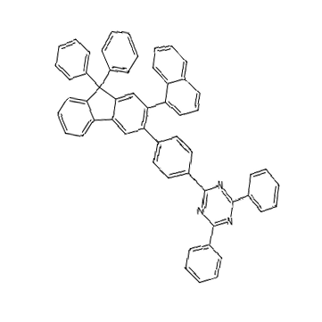 c1ccc(-c2nc(-c3ccccc3)nc(-c3ccc(-c4cc5c(cc4-c4cccc6ccccc46)C(c4ccccc4)(c4ccccc4)c4ccccc4-5)cc3)n2)cc1